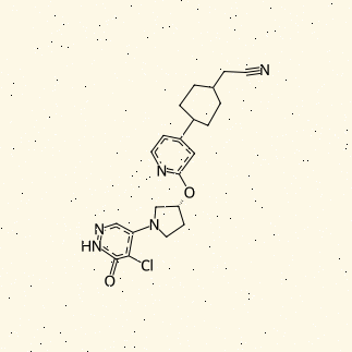 N#CCC1CCC(c2ccnc(O[C@@H]3CCN(c4cn[nH]c(=O)c4Cl)C3)c2)CC1